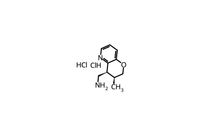 C[C@@H]1COc2cccnc2[C@@H]1CN.Cl.Cl